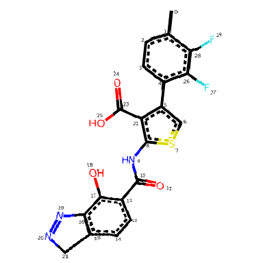 Cc1ccc(-c2csc(NC(=O)c3ccc4c(c3O)N=NC4)c2C(=O)O)c(F)c1F